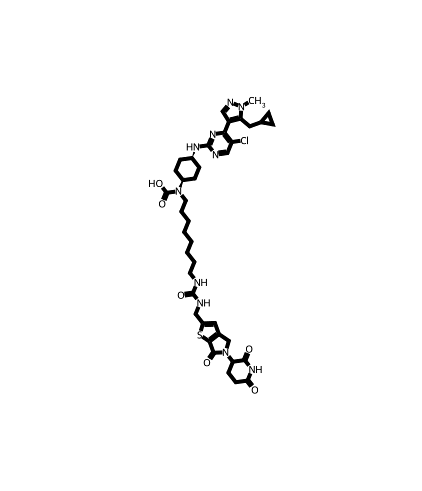 Cn1ncc(-c2nc(N[C@H]3CC[C@H](N(CCCCCCCCNC(=O)NCc4cc5c(s4)C(=O)N(C4CCC(=O)NC4=O)C5)C(=O)O)CC3)ncc2Cl)c1CC1CC1